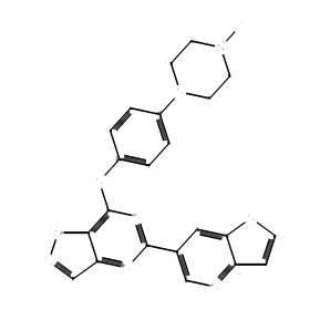 CC(=O)N1CCN(c2ccc(Nc3nc(-c4cnc5cc[nH]c5c4)nc4cn[nH]c34)cc2)CC1